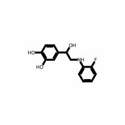 Oc1ccc(C(O)CNc2ccccc2F)cc1O